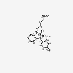 CNCC=CCN1c2ccccc2N(c2ccc(F)cc2F)S1(=O)=O